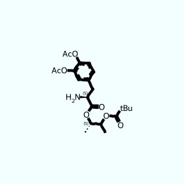 CC(=O)Oc1ccc(C[C@H](N)C(=O)O[C@@H](C)C(C)OC(=O)C(C)(C)C)cc1OC(C)=O